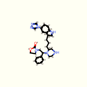 O=C1OCCN1CC(c1ccccc1)N1CCNCC1CCCc1c[nH]c2ccc(-n3cnnc3)cc12